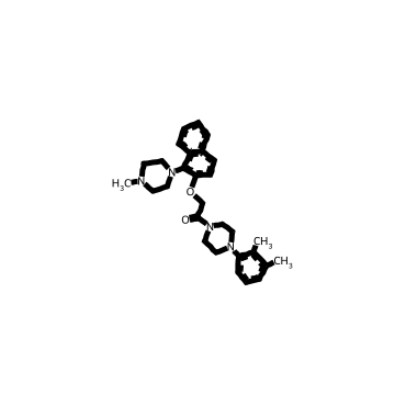 Cc1cccc(N2CCN(C(=O)COc3ccc4ccccc4c3N3CCN(C)CC3)CC2)c1C